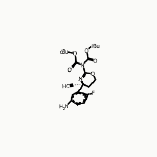 C#C[C@@]1(c2cc(N)ccc2F)CCOC(N(C(=O)OC(C)(C)C)C(=O)OC(C)(C)C)=N1